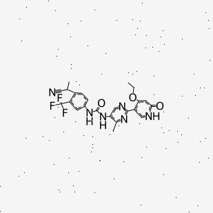 CCOc1cc(=O)[nH]cc1-c1ncc(NC(=O)Nc2ccc(C(C)C#N)c(C(F)(F)F)c2)c(C)n1